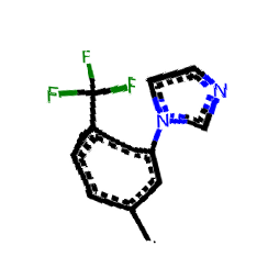 [CH2]c1ccc(C(F)(F)F)c(-n2ccnc2)c1